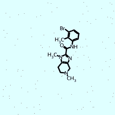 Cc1c(Br)cccc1NC(=O)c1nc2c(n1C)CCN(C)C2